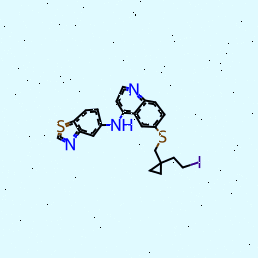 ICCC1(CSc2ccc3nccc(Nc4ccc5scnc5c4)c3c2)CC1